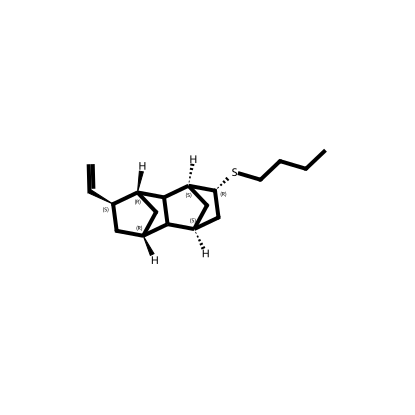 C=C[C@@H]1C[C@@H]2C[C@H]1C1C2[C@@H]2C[C@@H](SCCCC)[C@H]1C2